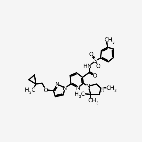 Cc1cccc(S(=O)(=O)NC(=O)c2ccc(-n3ccc(OCC4(C)CC4)n3)nc2N2C[C@@H](C)CC2(C)C)c1